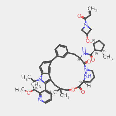 C=CC(=O)N1CC(O[C@@H]2CC[C@H](C)[C@H]2C(=O)N[C@H]2Cc3cccc(c3)-c3ccc4c(c3)c(c(-c3cccnc3[C@H](C)OC)n4CC)CC(C)(C)COC(=O)[C@@H]3CCCN(N3)C2=O)C1